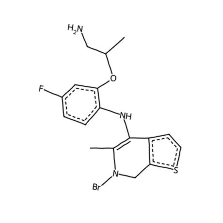 CC1=C(Nc2ccc(F)cc2OC(C)CN)c2ccsc2CN1Br